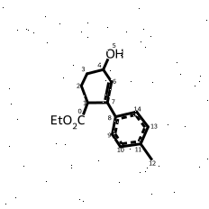 CCOC(=O)C1CCC(O)C=C1c1ccc(C)cc1